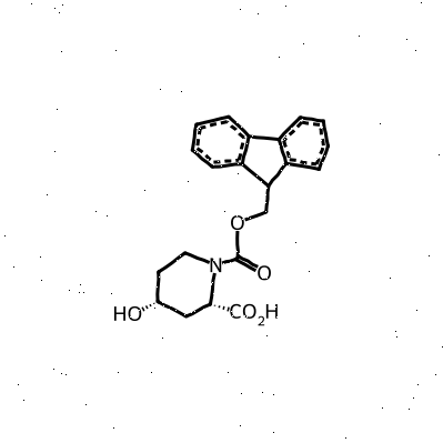 O=C(O)[C@@H]1C[C@H](O)CCN1C(=O)OCC1c2ccccc2-c2ccccc21